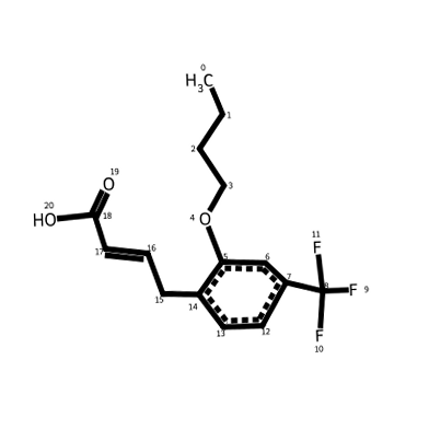 CCCCOc1cc(C(F)(F)F)ccc1CC=CC(=O)O